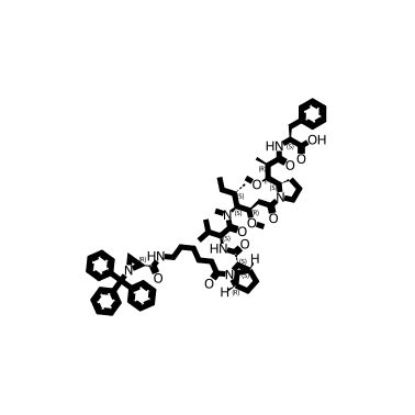 CC[C@H](C)[C@@H]([C@@H](CC(=O)N1CCC[C@H]1[C@H](OC)[C@@H](C)C(=O)N[C@@H](Cc1ccccc1)C(=O)O)OC)N(C)C(=O)[C@@H](NC(=O)[C@@H]1[C@H]2CC[C@H](C2)N1C(=O)CCCCCNC(=O)[C@H]1CN1C(c1ccccc1)(c1ccccc1)c1ccccc1)C(C)C